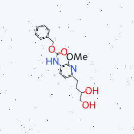 COc1nc(CC[C@@H](O)CO)ccc1NC(=O)OCc1ccccc1